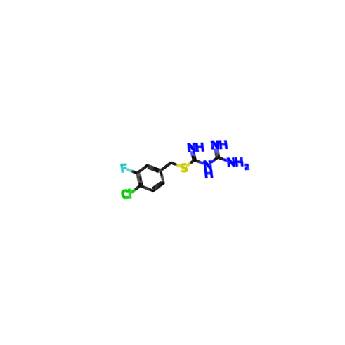 N=C(N)NC(=N)SCc1ccc(Cl)c(F)c1